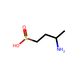 CC(N)CCS(=O)O